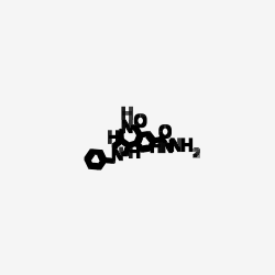 NNC(=O)c1ccc2c(c1)C(=O)NC[C@@H]1CN(Cc3ccccc3)C[C@@H]21